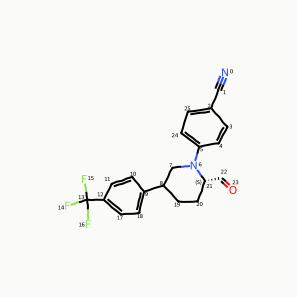 N#Cc1ccc(N2CC(c3ccc(C(F)(F)F)cc3)CC[C@H]2C=O)cc1